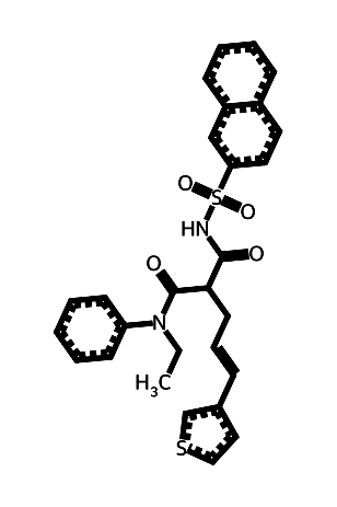 CCN(C(=O)C(CC=Cc1ccsc1)C(=O)NS(=O)(=O)c1ccc2ccccc2c1)c1ccccc1